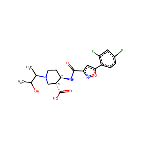 CC(O)C(C)N1CC[C@@H](NC(=O)c2cc(-c3ccc(F)cc3F)on2)[C@H](C(=O)O)C1